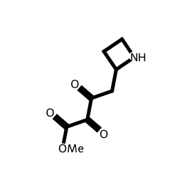 COC(=O)C(=O)C(=O)CC1CCN1